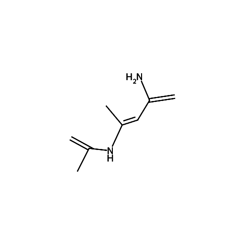 C=C(N)/C=C(\C)NC(=C)C